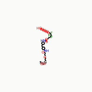 C[Si](C)(C)O[Si](C)(C)O[Si](C)(C)CCCOCCCC(=O)NC1CCC(CC2CCC(NC(=O)OCCCC(F)(F)CC(F)(F)COOOOOOOO)CC2)CC1